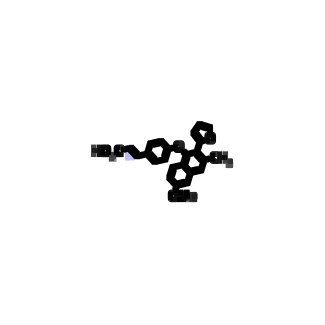 COc1ccc2c(Oc3ccc(/C=C/C(=O)O)cc3)c(-c3ccco3)c(C)cc2c1